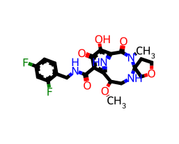 COC1CNC2(CCOC2)N(C)C(=O)c2[nH]c1c(C(=O)NCc1ccc(F)cc1F)c(=O)c2O